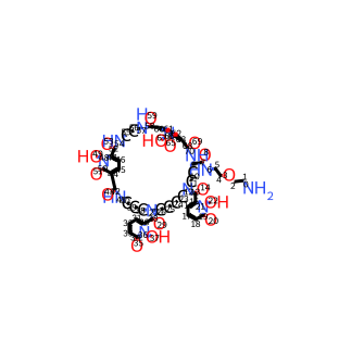 NCCOCCNC(=O)C1CCN(C(=O)c2cccc(=O)n2O)CCCCN(C(=O)c2cccc(=O)n2O)CCCNC(=O)c2ccc(n(O)c2=O)C(=O)NCCNC(=O)c2ccc(c(=O)n2O)C(=O)N1